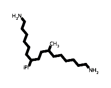 CC(CCCCCCN)CCC(CCCCCCN)C(C)C